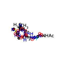 CCC1NC(=O)[C@@H](NC(=O)CCCCCNC(=O)N2CCN(c3ccc(N4C[C@H](CNC(C)=O)OC4=O)cc3F)CC2)[C@@H](C)OC(=O)[C@H](c2ccccc2)NC(=O)[C@@H]2CC(=O)[C@H](CSC3CN4CCC3CC4)CN2C(=O)[C@H](Cc2ccc(N(C)C)cc2)N(C)C(=O)[C@@H]2CCCN2C1=O